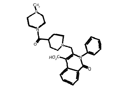 CN1CCN(C(=O)C2CCN(Cc3c(C(=O)O)c4ccccc4c(=O)n3-c3ccccc3)CC2)CC1